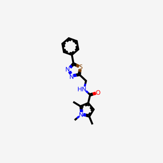 Cc1cc(C(=O)NCc2nnc(-c3ccccc3)s2)c(C)n1C